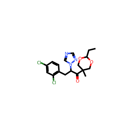 CCC1OCC(C)(C(=O)C(Cc2ccc(Cl)cc2Cl)n2cncn2)CO1